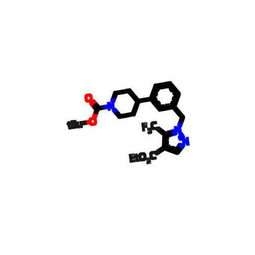 CCOC(=O)c1cnn(Cc2cccc(C3CCN(C(=O)OC(C)(C)C)CC3)c2)c1C(F)(F)F